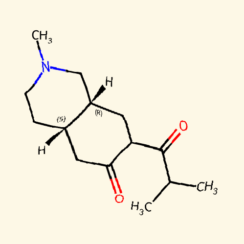 CC(C)C(=O)C1C[C@H]2CN(C)CC[C@H]2CC1=O